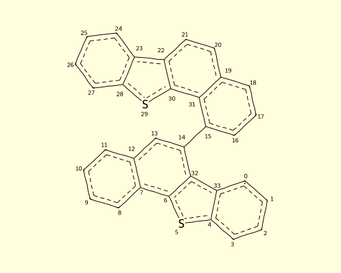 [c]1cccc2sc3c4ccccc4cc(-c4cccc5ccc6c7ccccc7sc6c45)c3c12